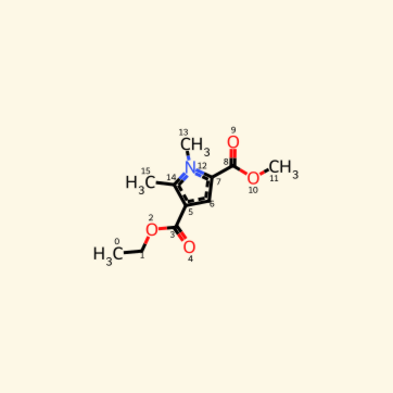 CCOC(=O)c1cc(C(=O)OC)n(C)c1C